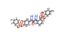 Cc1ccc(S(=O)(=O)Oc2ccc(NC(=O)Nc3ccccc3OS(=O)(=O)c3ccc(C)cc3)cc2)cc1